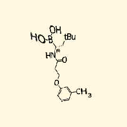 Cc1cccc(OCCC(=O)N[C@@H](CC(C)(C)C)B(O)O)c1